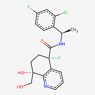 C[C@@H](NC(=O)[C@]1(F)CC[C@](O)(CO)c2ncccc21)c1ccc(F)cc1Cl